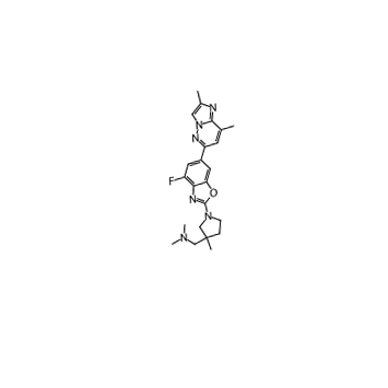 Cc1cn2nc(-c3cc(F)c4nc(N5CCC(C)(CN(C)C)C5)oc4c3)cc(C)c2n1